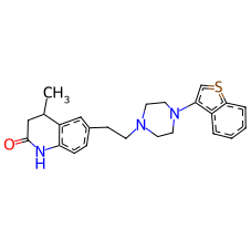 CC1CC(=O)Nc2ccc(CCN3CCN(c4csc5ccccc45)CC3)cc21